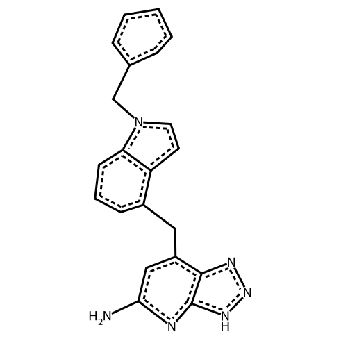 Nc1cc(Cc2cccc3c2ccn3Cc2ccccc2)c2nn[nH]c2n1